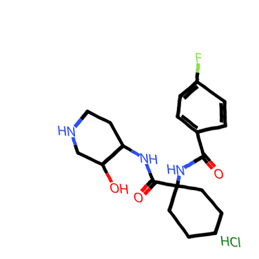 Cl.O=C(NC1(C(=O)NC2CCNCC2O)CCCCC1)c1ccc(F)cc1